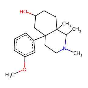 COc1cccc(C23CCN(C)C(C)C2(C)CCC(O)C3)c1